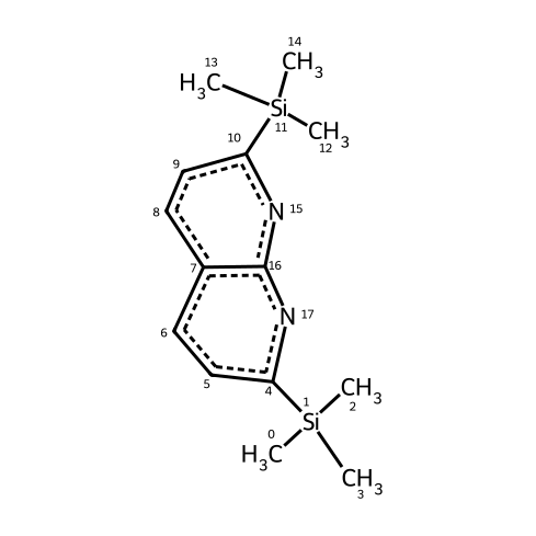 C[Si](C)(C)c1ccc2ccc([Si](C)(C)C)nc2n1